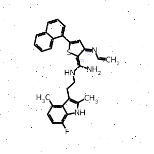 C=C/N=C1/C=C(c2cccc3ccccc23)S/C1=C(/N)NCCc1c(C)[nH]c2c(F)ccc(C)c12